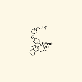 CCCCCC1(c2ccc(O[C@H]3CCN(CCCF)C3)cc2)NC(C)Cc2c1[nH]c1ccccc21